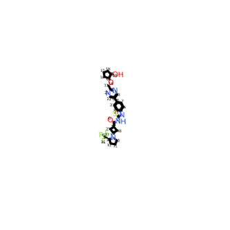 O=C(Nc1nc2ccc(-c3cnc(CO[C@H]4CCC[C@@H]4O)nc3)cc2s1)C1CC(N2CCC[C@H]2C(F)(F)F)C1